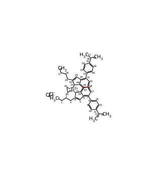 CCCCC1=Cc2c(-c3ccc(C(C)C)cc3)cccc2[CH]1[Ti+2]1([CH]2C(CCCC)=Cc3c(-c4ccc(C(C)C)cc4)cccc32)[CH2][CH2]1.[Cl-].[Cl-]